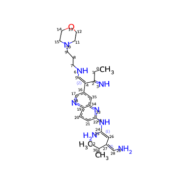 CCC(=N)/C(=C\NCCCN1CCOCC1)c1cnc2ccc(N/C(N)=C/C(=C\N)C(C)C)nc2c1